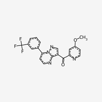 COc1ccnc(C(=O)c2cnn3c(-c4cccc(C(F)(F)F)c4)ccnc23)c1